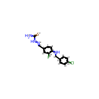 NC(=S)N/N=C/c1ccc(NCc2ccc(Cl)cc2)c(F)c1